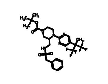 CC(C)(C)OC(=O)N1CCN(c2ncc(C(O)(C(F)(F)F)C(F)(F)F)cn2)[C@@H](CNS(=O)(=O)Cc2ccccc2)C1